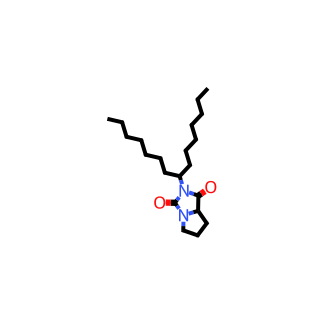 CCCCCCCC(CCCCCCC)N1C(=O)C2CCCN2C1=O